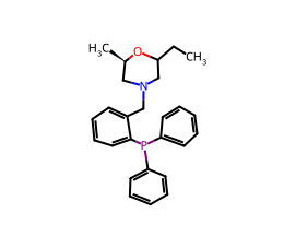 CCC1CN(Cc2ccccc2P(c2ccccc2)c2ccccc2)C[C@@H](C)O1